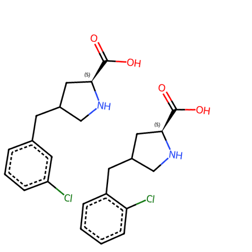 O=C(O)[C@@H]1CC(Cc2cccc(Cl)c2)CN1.O=C(O)[C@@H]1CC(Cc2ccccc2Cl)CN1